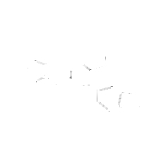 CCCCOC(=O)C(OC(=O)C[N+]1=CCC=C1)c1ccc2c(c1)OCO2